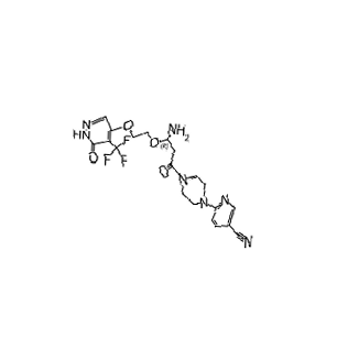 N#Cc1ccc(N2CCN(C(=O)C[C@H](N)OCCOc3cn[nH]c(=O)c3C(F)(F)F)CC2)nc1